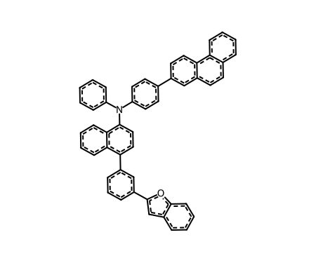 c1ccc(N(c2ccc(-c3ccc4c(ccc5ccccc54)c3)cc2)c2ccc(-c3cccc(-c4cc5ccccc5o4)c3)c3ccccc23)cc1